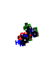 O=C(O)c1c(NC(=O)c2cc(C(F)(F)F)nn2-c2ncccc2Cl)c(Cl)cc2cn[nH]c12